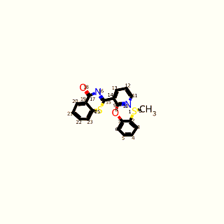 CSc1ccccc1Oc1ncccc1-c1nc(=O)c2ccccc2s1